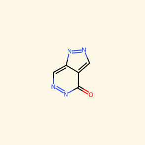 O=C1N=NC=C2N=NC=C12